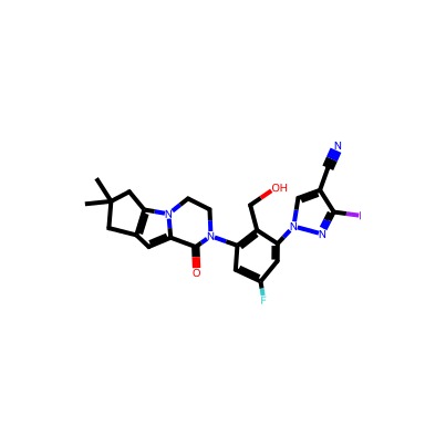 CC1(C)Cc2cc3n(c2C1)CCN(c1cc(F)cc(-n2cc(C#N)c(I)n2)c1CO)C3=O